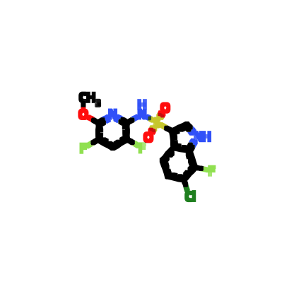 COc1nc(NS(=O)(=O)c2c[nH]c3c(F)c(Cl)ccc23)c(F)cc1F